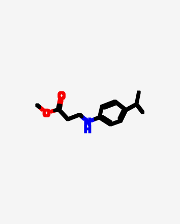 COC(=O)CCNc1ccc(C(C)C)cc1